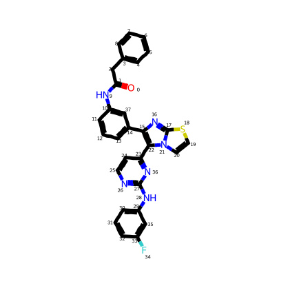 O=C(Cc1ccccc1)Nc1cccc(-c2nc3sccn3c2-c2ccnc(Nc3cccc(F)c3)n2)c1